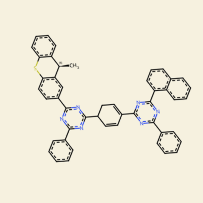 C[C@@H]1c2ccccc2Sc2ccc(-c3nc(-c4ccccc4)nc(C4C=CC(c5nc(-c6ccccc6)nc(-c6cccc7ccccc67)n5)=CC4)n3)cc21